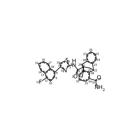 CC1(C(=O)Nc2nc(-c3ccc(F)c4ccccc34)cs2)CC2c3ccccc3C1c1cccc(C(N)=O)c12